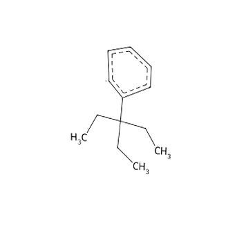 CCC(CC)(CC)c1[c]cccc1